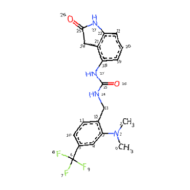 CN(C)c1cc(C(F)(F)F)ccc1CNC(=O)Nc1cccc2c1CC(=O)N2